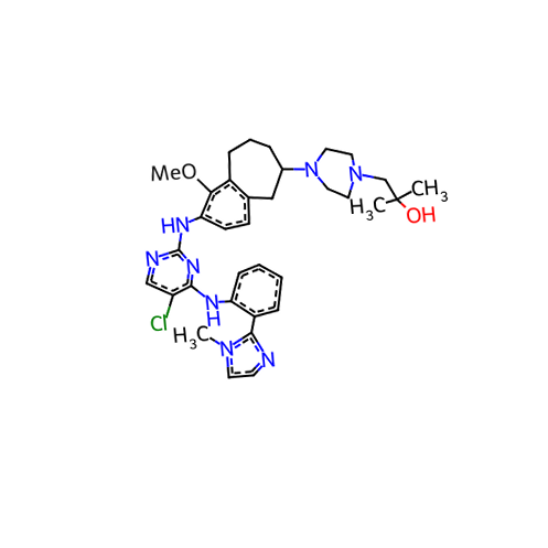 COc1c(Nc2ncc(Cl)c(Nc3ccccc3-c3nccn3C)n2)ccc2c1CCCC(N1CCN(CC(C)(C)O)CC1)C2